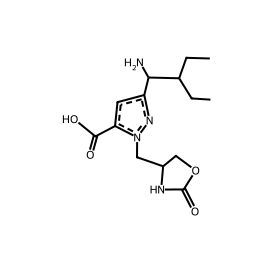 CCC(CC)C(N)c1cc(C(=O)O)n(CC2COC(=O)N2)n1